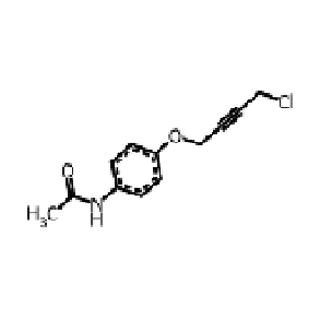 CC(=O)Nc1ccc(OCC#CCCl)cc1